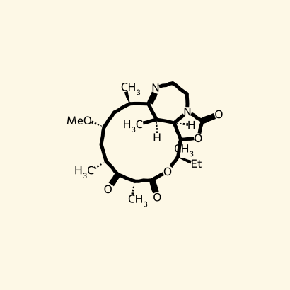 CC[C@H]1OC(=O)[C@H](C)C(=O)[C@H](C)C[C@H](OC)C[C@@H](C)C2=NCCN3C(=O)O[C@@]1(C)[C@H]3[C@H]2C